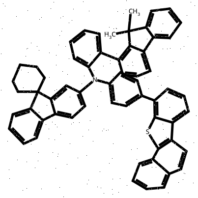 CC1(C)c2ccccc2-c2cccc(-c3ccccc3N(c3ccc(-c4cccc5c4sc4c6ccccc6ccc54)cc3)c3ccc4c(c3)C3(CCCCC3)c3ccccc3-4)c21